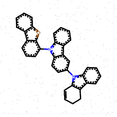 C1=Cc2c(c3ccccc3n2-c2ccc3c(c2)c2ccccc2n3-c2cccc3c2sc2ccccc23)CC1